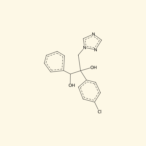 OC(c1ccccc1)C(O)(Cn1cncn1)c1ccc(Cl)cc1